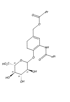 CCCC(=O)NC1=C(OC2O[C@@H](C(=O)O)[C@H](O)[C@@H](O)[C@@H]2O)CCC(COC(=O)C(C)C)=C1